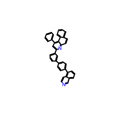 c1ccc(-c2cc(-c3cccc(-c4ccc(-c5cccc6cnccc56)cc4)c3)nc3ccc4ccccc4c23)cc1